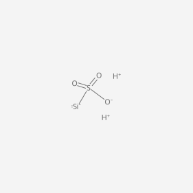 O=S(=O)([O-])[Si-].[H+].[H+]